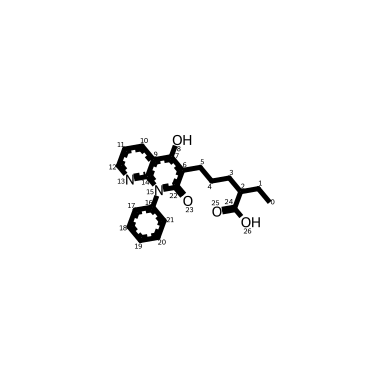 CCC(CCCc1c(O)c2cccnc2n(-c2ccccc2)c1=O)C(=O)O